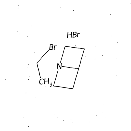 Br.C1CN2CCC12.CCBr